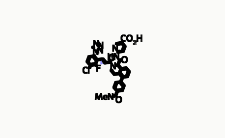 CNC(=O)c1ccc(-c2cccc3c2CCN(C(=O)/C=C/c2c(-n4cnnn4)ccc(Cl)c2F)C3C(=O)Nc2ccc(C(=O)O)cn2)cc1